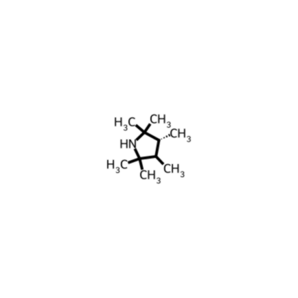 CC1[C@@H](C)C(C)(C)NC1(C)C